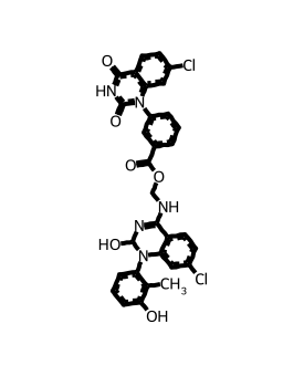 Cc1c(O)cccc1N1c2cc(Cl)ccc2C(NCOC(=O)c2cccc(-n3c(=O)[nH]c(=O)c4ccc(Cl)cc43)c2)=NC1O